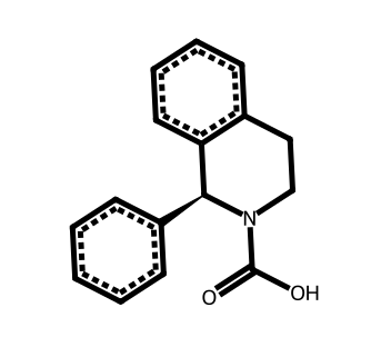 O=C(O)N1CCc2ccccc2[C@@H]1c1ccccc1